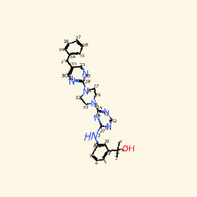 CC(C)(O)c1cccc(Nc2ncnc(N3CCN(c4ncc(Cc5ccccc5)cn4)CC3)n2)c1